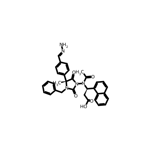 CC(=O)N([C@H](CC(=O)O)c1cccc2ccccc12)N1C(=O)N(Cc2ccccc2)[C@](C)(c2ccc(C=NN)cc2)C1=O